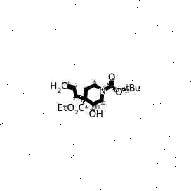 C=CC[C@]1(C(=O)OCC)CCN(C(=O)OC(C)(C)C)C[C@@H]1O